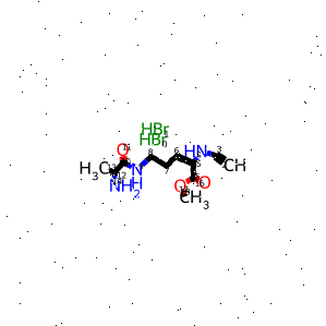 Br.Br.C#CNC(=CCCNC(=O)C(C)N)C(=O)OC